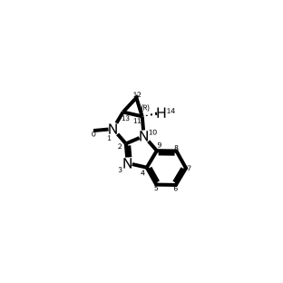 CN1c2nc3ccccc3n2[C@@H]2CC21